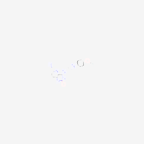 Cn1c(=O)nc(N2CCC3(CN(c4ccc(OC(F)(F)F)cc4)C3)C2)c2nc(C#N)ccc21